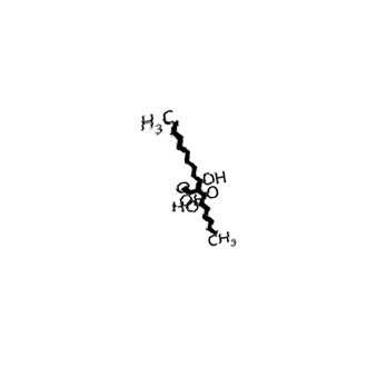 CCCCCCCCCC(O)=C(C(=O)O)C(=O)C(O)CCCCCC